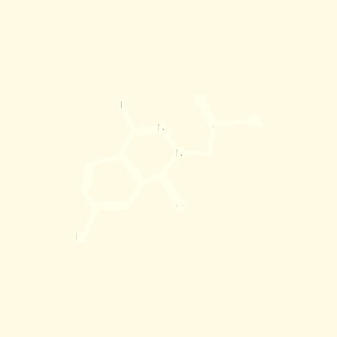 CCC(=O)Cn1nc(I)c2ccc(Br)cc2c1=O